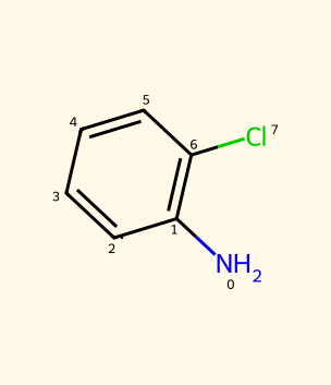 Nc1[c]cccc1Cl